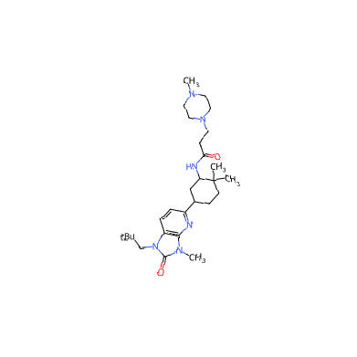 CN1CCN(CCC(=O)NC2CC(c3ccc4c(n3)n(C)c(=O)n4CC(C)(C)C)CCC2(C)C)CC1